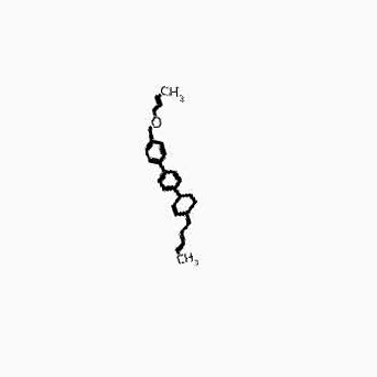 CC=CCCC1CCC(c2ccc(-c3ccc(COCC=CC)cc3)cc2)CC1